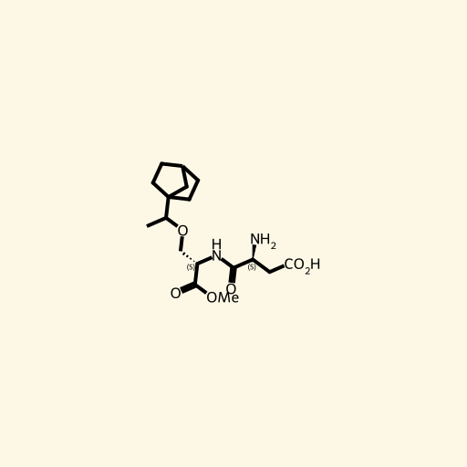 COC(=O)[C@H](COC(C)C12CCC(CC1)C2)NC(=O)[C@@H](N)CC(=O)O